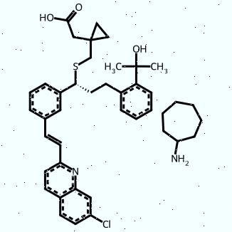 CC(C)(O)c1ccccc1CC[C@@H](SCC1(CC(=O)O)CC1)c1cccc(/C=C/c2ccc3ccc(Cl)cc3n2)c1.NC1CCCCCC1